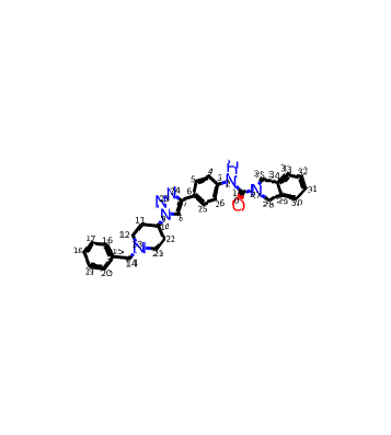 O=C(Nc1ccc(-c2cn(C3CCN(Cc4ccccc4)CC3)nn2)cc1)N1Cc2ccccc2C1